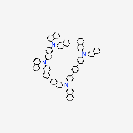 c1ccc2cc(N(c3ccc(-c4ccc(-c5ccc(N(c6ccc7ccccc7c6)c6ccc7ccccc7c6)cc5)cc4)cc3)c3ccc4ccccc4c3)ccc2c1.c1ccc2cc(N(c3ccc4cc(N(c5ccc6ccccc6c5)c5cccc6ccccc56)ccc4c3)c3cccc4ccccc34)ccc2c1